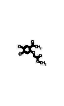 COC(=O)COc1cc(Cl)c(Cl)cc1C(C)=O